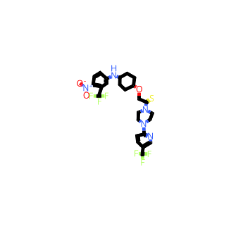 O=[N+]([O-])c1ccc(NC2CCC(OCC(=S)N3CCN(c4ccc(C(F)(F)F)cn4)CC3)CC2)cc1C(F)(F)F